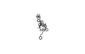 CC(C)CC(CN1CCC[C@H]1C(=O)NCCCCc1ccccc1)NS(=O)(=O)c1ccc(-c2ccon2)s1